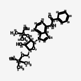 CC(C)(C)[Si](C)(C)OC[C@H]1O[C@@H](n2cnc3c(NC(=O)c4ccccc4)ncnc32)[C@H](O[Si](C)(C)C(C)(C)C)[C@@H]1O